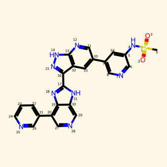 CS(=O)(=O)Nc1cncc(-c2cnc3[nH]nc(-c4nc5c(-c6cccnc6)cncc5[nH]4)c3c2)c1